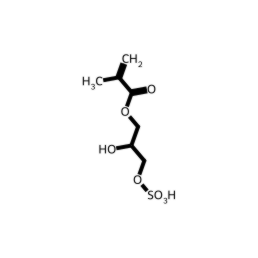 C=C(C)C(=O)OCC(O)COS(=O)(=O)O